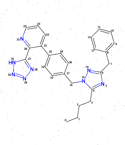 CCCCc1nc(Cc2ccccc2)nn1Cc1ccc(-c2cccnc2-c2nnn[nH]2)cc1